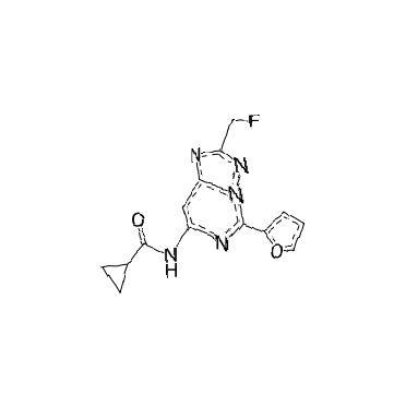 O=C(Nc1cc2nc(CF)nn2c(-c2ccco2)n1)C1CC1